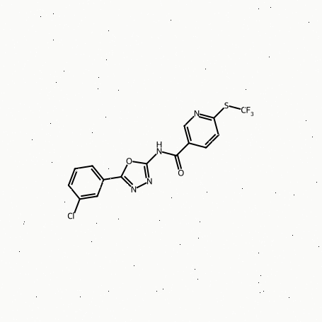 O=C(Nc1nnc(-c2cccc(Cl)c2)o1)c1ccc(SC(F)(F)F)nc1